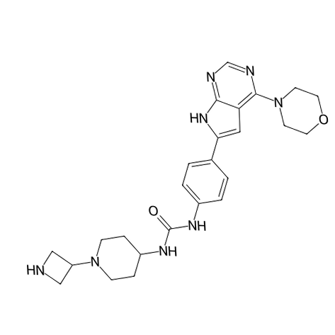 O=C(Nc1ccc(-c2cc3c(N4CCOCC4)ncnc3[nH]2)cc1)NC1CCN(C2CNC2)CC1